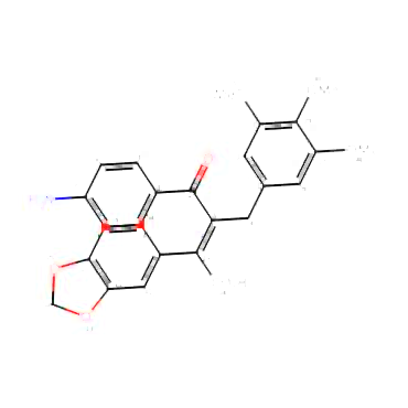 COc1cc(C/C(C(=O)c2ccc(N)cc2)=C(\C(=O)O)c2ccc3c(c2)OCO3)cc(OC)c1OC